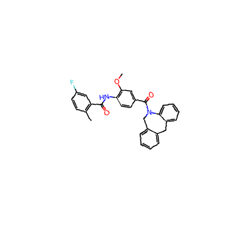 COc1cc(C(=O)N2Cc3ccccc3Cc3ccccc32)ccc1NC(=O)c1cc(F)ccc1C